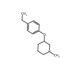 CCc1ccc(OC2CCCN(C)C2)cc1